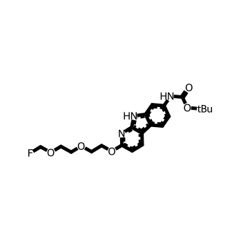 CC(C)(C)OC(=O)Nc1ccc2c(c1)[nH]c1nc(OCCOCCOCF)ccc12